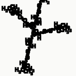 CC(C)(C)OC(=O)NCCOCCOCCNC(=O)CNCCN(CCN(CCNCC(=O)NCCOCCOCCN)CC(=O)NCCOCCOCCNC(=O)OC(C)(C)C)CC(=O)NCCOCCOCCNC(=O)OC(C)(C)C